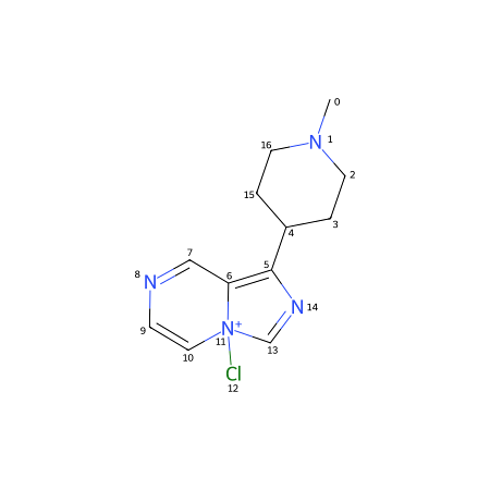 CN1CCC(C2=C3C=NC=C[N+]3(Cl)C=N2)CC1